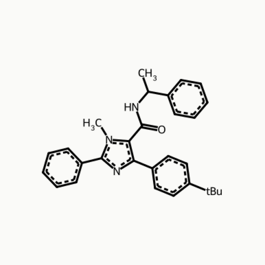 CC(NC(=O)c1c(-c2ccc(C(C)(C)C)cc2)nc(-c2ccccc2)n1C)c1ccccc1